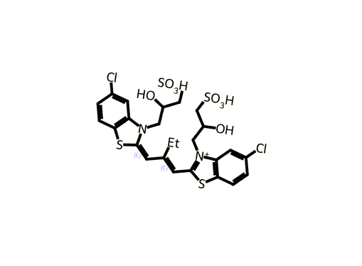 CCC(=C\c1sc2ccc(Cl)cc2[n+]1CC(O)CS(=O)(=O)O)/C=C1/Sc2ccc(Cl)cc2N1CC(O)CS(=O)(=O)O